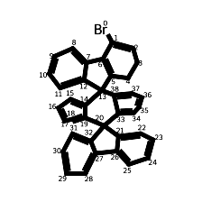 BrC1=CCCC2=C1c1ccccc1C21c2ccccc2C2(c3ccccc3-c3ccccc32)c2ccccc21